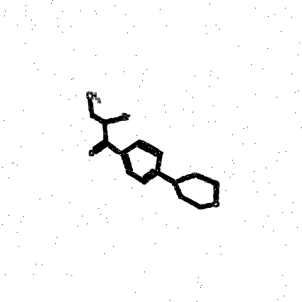 CCC(Br)C(=O)c1ccc(N2CCOCC2)cc1